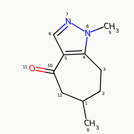 CC1CCc2c(cnn2C)C(=O)C1